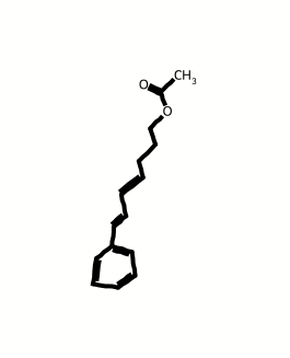 CC(=O)OCCC/C=C/C=C/c1ccccc1